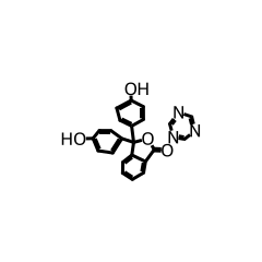 O=C1OC(c2ccc(O)cc2)(c2ccc(O)cc2)c2ccccc21.c1ncncn1